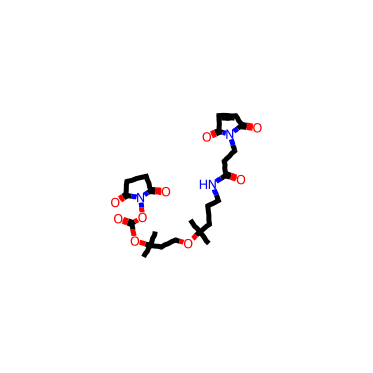 CC(C)(CCCNC(=O)CCN1C(=O)C=CC1=O)OCCC(C)(C)OC(=O)ON1C(=O)CCC1=O